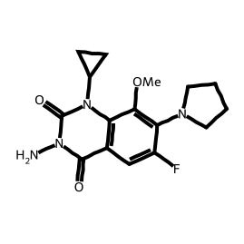 COc1c(N2CCCC2)c(F)cc2c(=O)n(N)c(=O)n(C3CC3)c12